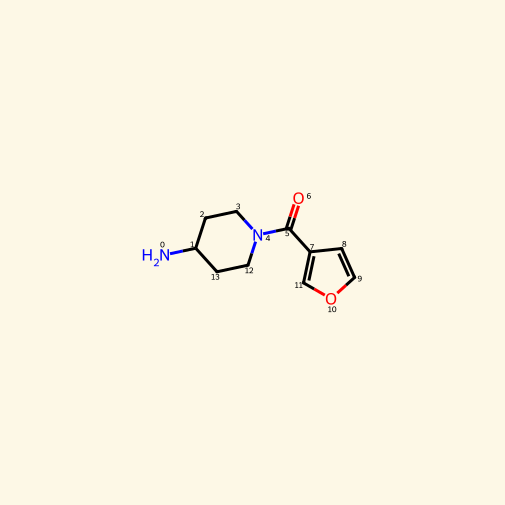 NC1CCN(C(=O)c2ccoc2)CC1